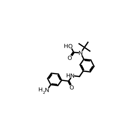 CC(C)(C)N(C(=O)O)c1cccc(CNC(=O)c2cccc(N)c2)c1